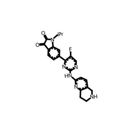 CC(C)N1C(=O)C(=O)c2ccc(-c3nc(Nc4ccc5c(n4)CCNC5)ncc3F)cc21